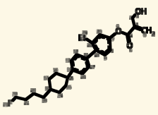 C=C(CO)C(=O)Oc1ccc(-c2ccc(C3CCC(CCCCF)CC3)cc2)c(CC)c1